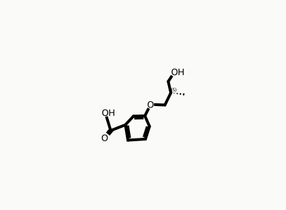 C[C@@H](CO)COc1cccc(C(=O)O)c1